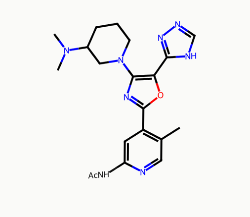 CC(=O)Nc1cc(-c2nc(N3CCCC(N(C)C)C3)c(-c3nnc[nH]3)o2)c(C)cn1